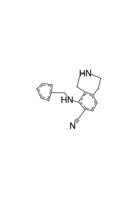 N#Cc1ccc2c(c1NCc1ccccc1)CCNCC2